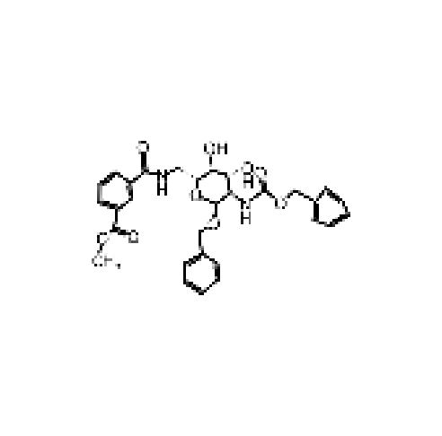 COC(=O)c1cccc(C(=O)NC[C@H]2O[C@H](OCc3ccccc3)[C@H](NC(=O)OCc3ccccc3)[C@@H](O)[C@@H]2O)c1